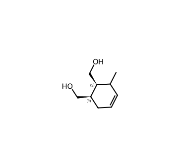 CC1C=CC[C@@H](CO)[C@H]1CO